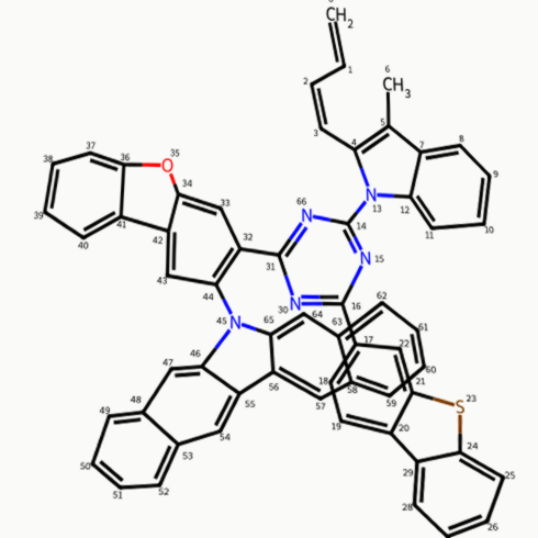 C=C/C=C\c1c(C)c2ccccc2n1-c1nc(-c2ccc3c(c2)sc2ccccc23)nc(-c2cc3oc4ccccc4c3cc2-n2c3cc4ccccc4cc3c3cc4ccccc4cc32)n1